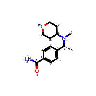 C[C@H](c1ccc(C(N)=O)cc1)N(C)C1CCOCC1